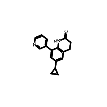 O=C1CCc2cc(C3CC3)cc(-c3cccnc3)c2N1